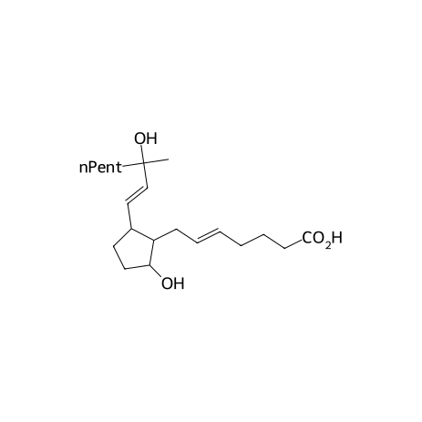 CCCCCC(C)(O)C=CC1CCC(O)C1CC=CCCCC(=O)O